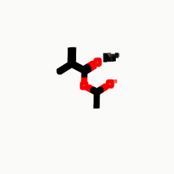 C=C(C)C(=O)OC(C)[O-].[Na+]